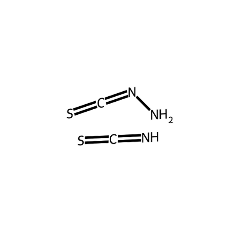 N=C=S.NN=C=S